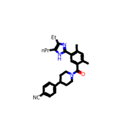 CCCc1[nH]c(-c2cc(C(=O)N3CCC(c4ccc(C#N)cc4)CC3)c(C)cc2C)nc1CC